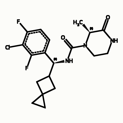 C[C@@H]1C(=O)NCCN1C(=O)N[C@@H](c1ccc(F)c(Cl)c1F)C1CC2(CC2)C1